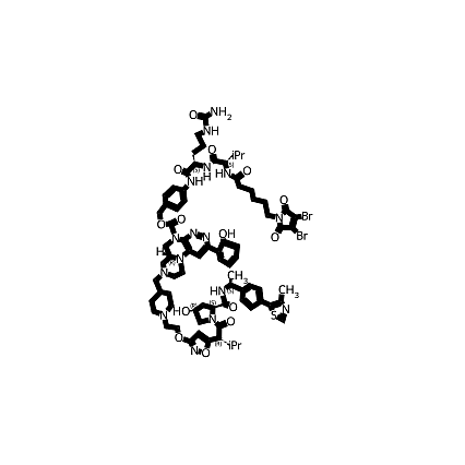 Cc1ncsc1-c1ccc([C@H](C)NC(=O)[C@@H]2C[C@@H](O)CN2C(=O)[C@@H](c2cc(OCCN3CCC(CN4CCN5c6cc(-c7ccccc7O)nnc6N(C(=O)OCc6ccc(NC(=O)[C@H](CCCNC(N)=O)NC(=O)[C@@H](NC(=O)CCCCCN7C(=O)C(Br)=C(Br)C7=O)C(C)C)cc6)C[C@H]5C4)CC3)no2)C(C)C)cc1